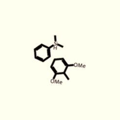 COC1=CCC=C(OC)C1C.C[SiH](C)c1ccccc1